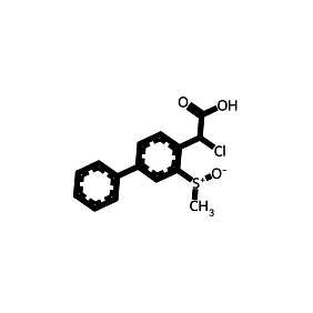 C[S+]([O-])c1cc(-c2ccccc2)ccc1C(Cl)C(=O)O